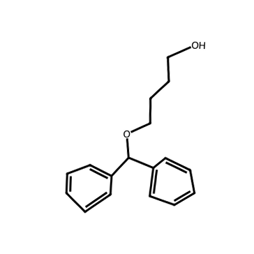 OCCCCOC(c1ccccc1)c1ccccc1